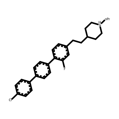 CCC[SiH]1CCC(CCc2ccc(-c3ccc(-c4ccc(Cl)cc4)cc3)c(F)c2)CC1